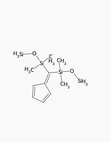 C[Si](C)(O[SiH3])C(=C1C=CC=C1)[Si](C)(C)O[SiH3]